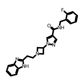 O=C(NCc1ccccc1F)c1cnn(C2CN(CCc3nc4ccccc4[nH]3)C2)c1